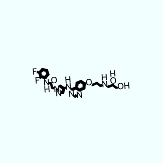 O=C(Cn1cc(Nc2ncnc3cc(OCCCNCC(O)CO)ccc23)cn1)Nc1cccc(F)c1F